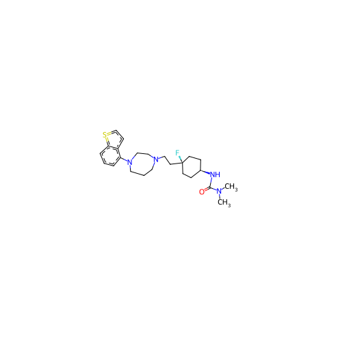 CN(C)C(=O)N[C@H]1CC[C@](F)(CCN2CCCN(c3cccc4sccc34)CC2)CC1